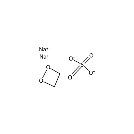 C1COO1.O=S(=O)([O-])[O-].[Na+].[Na+]